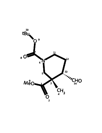 COC(=O)[C@]1(C)CN(C(=O)OC(C)(C)C)CC[C@@H]1C=O